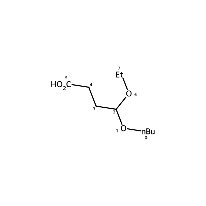 CCCCOC(CCC(=O)O)OCC